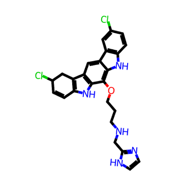 Clc1ccc2[nH]c3c(OCCCNCc4ncc[nH]4)c4[nH]c5c(c4cc3c2c1)CC(Cl)C=C5